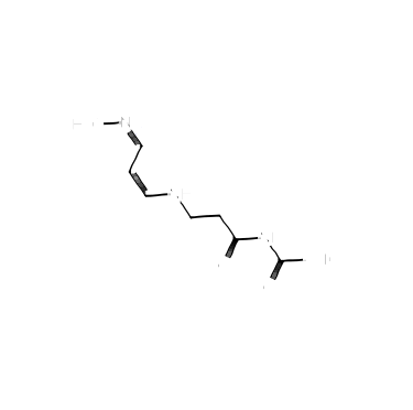 C/N=C\C=C/NCCC(=O)NC(=O)C=O